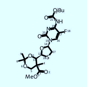 COC(=O)C1(C)COC(C)(C)OC1[C@H]1O[C@@H](n2cc(F)c(NC(=O)OCC(C)C)nc2=O)CS1